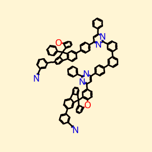 N#Cc1cccc(-c2ccc3c(c2)C2(c4ccccc4Oc4ccc(-c5cc(-c6ccc(-c7cccc(-c8cccc(-c9nc(-c%10ccccc%10)cc(-c%10ccc(-c%11ccc%12c(c%11)C%11(c%13ccccc%13Oc%13ccccc%13%11)c%11cc(-c%13cccc(C#N)c%13)ccc%11-%12)cc%10)n9)c8)c7)cc6)nc(-c6ccccc6)n5)cc42)c2ccccc2-3)c1